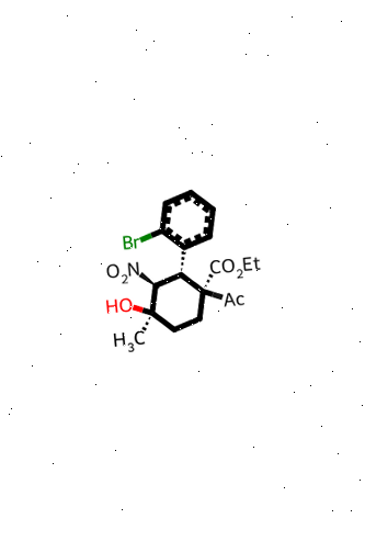 CCOC(=O)[C@]1(C(C)=O)CC[C@@](C)(O)[C@@H]([N+](=O)[O-])[C@@H]1c1ccccc1Br